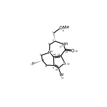 COC[C@H]1CN2C[C@@H](F)Cc3c(Br)sc(c32)C(=O)N1